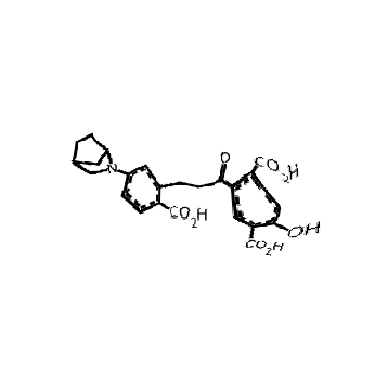 O=C(O)c1cc(C(=O)CCc2cc(N3CC4CCC3C4)ccc2C(=O)O)c(C(=O)O)cc1O